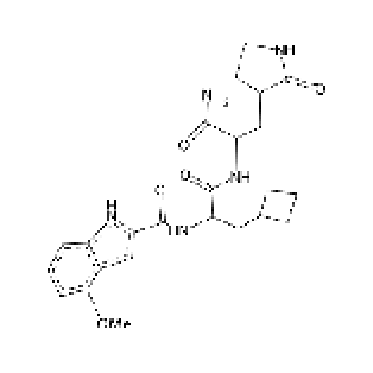 COc1cccc2[nH]c(C(=O)NC(CC3CCC3)C(=O)NC(CC3CCNC3=O)C(N)=O)cc12